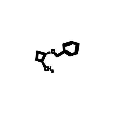 C[C@H]1CC[C@@H]1OCc1ccccc1